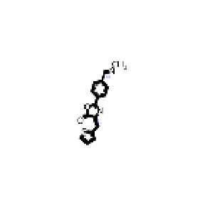 C/N=C/c1ccc(C2=N/C(=C/c3cccs3)C(=O)O2)cc1